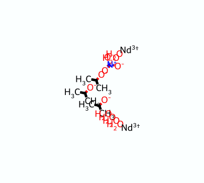 CC(C)[O-].CC(C)[O-].CC(C)[O-].O.O.O.O.O.O.O=[N+]([O-])[O-].[Nd+3].[Nd+3]